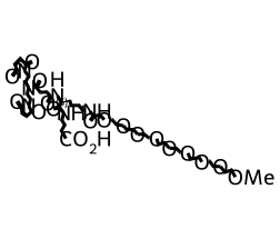 COCCOCCOCCOCCOCCOCCOCCOCCOCC(=O)NCCCC[C@H](NC(=O)CCC(=O)N(CCN1C(=O)C=CC1=O)CCN1C(=O)C=CC1=O)C(=O)NCCCC(=O)O